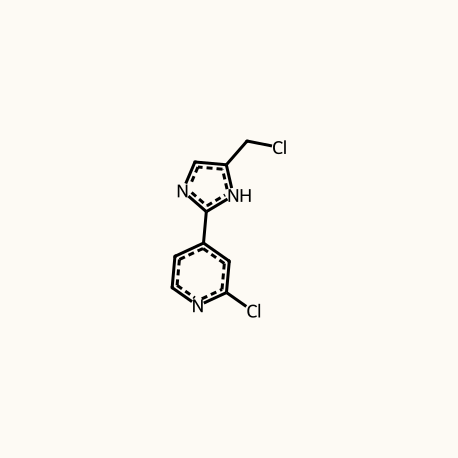 ClCc1cnc(-c2ccnc(Cl)c2)[nH]1